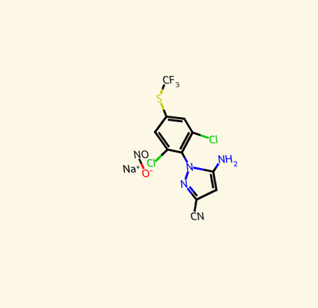 N#Cc1cc(N)n(-c2c(Cl)cc(SC(F)(F)F)cc2Cl)n1.O=N[O-].[Na+]